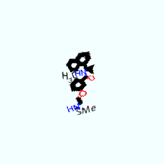 CSNCCOc1ccc(C)c(C(=O)NC2(c3cccc4ccccc34)CC2)c1